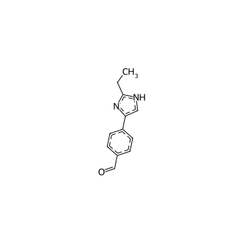 CCc1nc(-c2ccc(C=O)cc2)c[nH]1